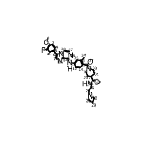 COc1ccc(-c2cnc3c(Nc4ccc(C(=O)N5CCC(C(=O)NCCN6CCC6)CC5)c(C)c4)nccn23)cc1F